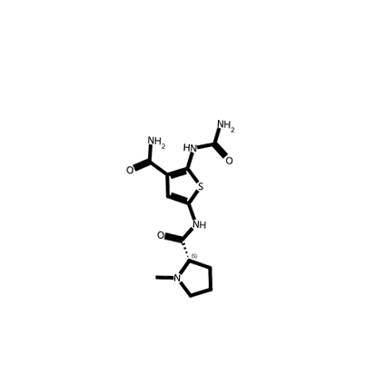 CN1CCC[C@H]1C(=O)Nc1cc(C(N)=O)c(NC(N)=O)s1